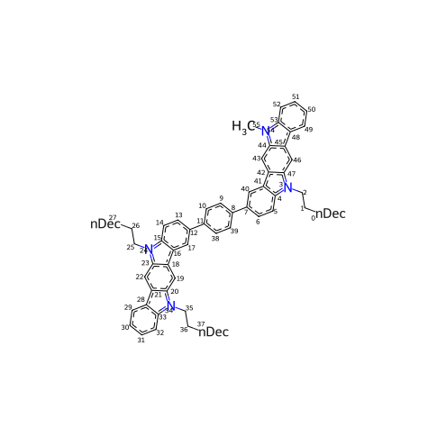 CCCCCCCCCCCCn1c2ccc(-c3ccc(-c4ccc5c(c4)c4cc6c(cc4n5CCCCCCCCCCCC)c4ccccc4n6CCCCCCCCCCCC)cc3)cc2c2cc3c(cc21)c1ccccc1n3C